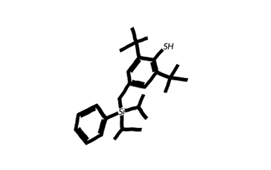 CC(C)[Si](Cc1cc(C(C)(C)C)c(S)c(C(C)(C)C)c1)(c1ccccc1)C(C)C